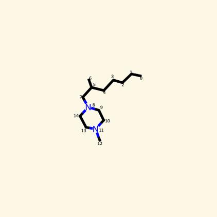 CCCCCC(C)CN1CCN(C)CC1